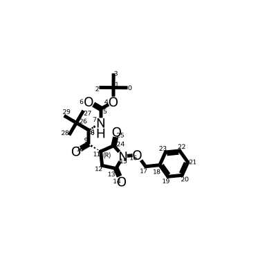 CC(C)(C)OC(=O)N[C@H](C(=O)[C@H]1CC(=O)N(OCc2ccccc2)C1=O)C(C)(C)C